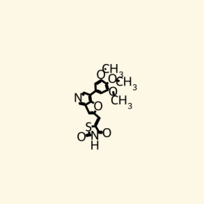 COc1cc(-c2cncc3cc(/C=C4\SC(=O)NC4=O)oc23)cc(OC)c1OC